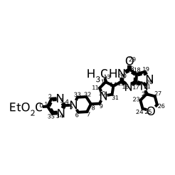 CCOC(=O)c1cnc(N2CCC(CN3CC(C)C(c4nc5c(cnn5C5CCOCC5)c(=O)[nH]4)C3)CC2)nc1